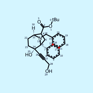 CC(C)(C)OC(=O)C1C[C@]2(c3ccccc3)N(Cc3ccccc3)[C@H]1CC[C@]2(O)C#CCO